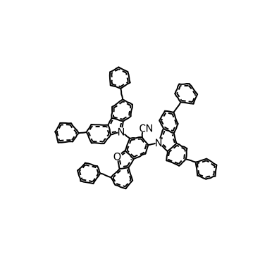 N#Cc1c(-n2c3ccc(-c4ccccc4)cc3c3cc(-c4ccccc4)ccc32)cc2c(oc3c(-c4ccccc4)cccc32)c1-n1c2ccc(-c3ccccc3)cc2c2cc(-c3ccccc3)ccc21